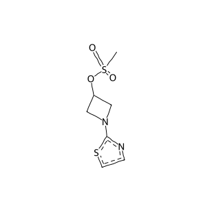 CS(=O)(=O)OC1CN(c2nccs2)C1